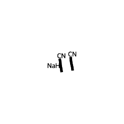 CC#N.CC#N.[NaH]